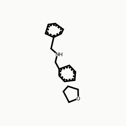 C1CCOC1.c1ccc(CNCc2ccccc2)cc1